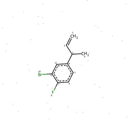 [CH2]C(C=C)c1ccc(F)c(Br)c1